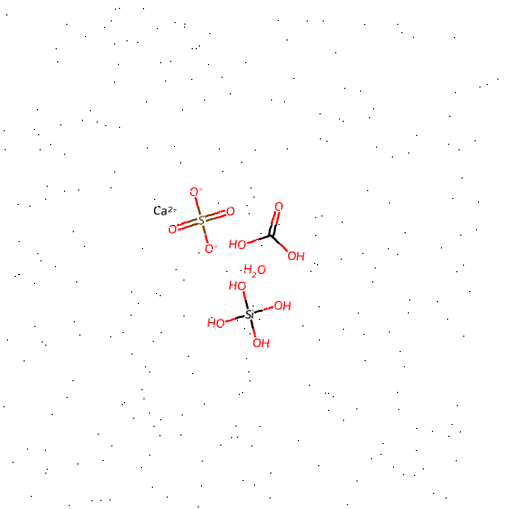 O.O=C(O)O.O=S(=O)([O-])[O-].O[Si](O)(O)O.[Ca+2]